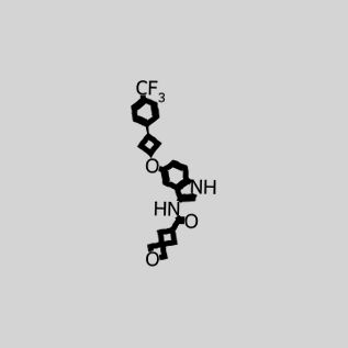 O=C(Nc1c[nH]c2ccc(O[C@H]3C[C@H](c4ccc(C(F)(F)F)cc4)C3)cc12)C1CC2(COC2)C1